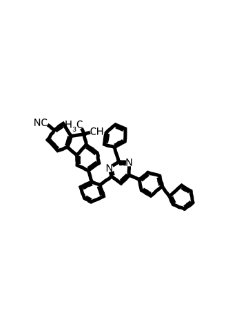 CC1(C)c2ccc(-c3ccccc3-c3cc(-c4ccc(-c5ccccc5)cc4)nc(-c4ccccc4)n3)cc2-c2ccc(C#N)cc21